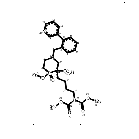 CCOP1(=O)CCN(Cc2ccccc2-c2cccnc2)CC1(CCCCN(C(=O)OC(C)(C)C)C(=O)OC(C)(C)C)C(=O)O